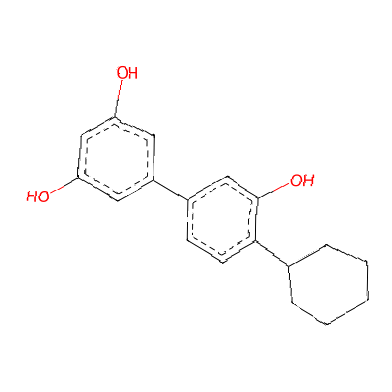 Oc1cc(O)cc(-c2ccc(C3CCCCC3)c(O)c2)c1